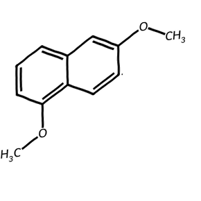 COc1[c]cc2c(OC)cccc2c1